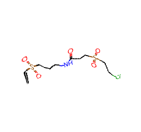 C=CS(=O)(=O)CCCNC(=O)CCS(=O)(=O)CCCl